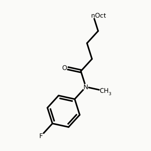 CCCCCCCCCCCC(=O)N(C)c1ccc(F)cc1